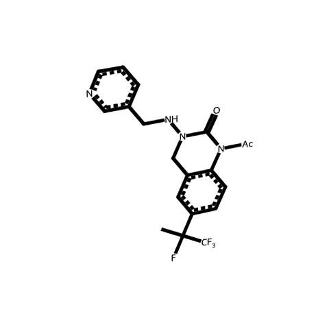 CC(=O)N1C(=O)N(NCc2cccnc2)Cc2cc(C(C)(F)C(F)(F)F)ccc21